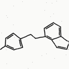 Fc1ccc(CCc2cccc3s[c]cc23)cc1